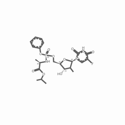 CC(C)OC(=O)[C@@H](C)N[P@@](=O)(OC[C@H]1O[C@@H](n2cc(F)c(=O)[nH]c2=O)C(C)[C@@H]1O)Oc1ccccc1